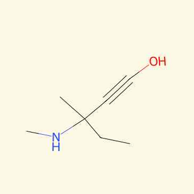 CCC(C)(C#CO)NC